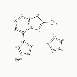 CC1=Cc2c(cccc2-[c-]2cccc2)C1.[Fe+2].c1cc[cH-]c1